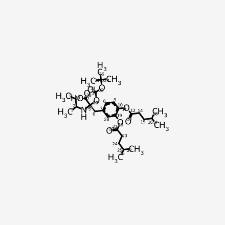 CCC(C)N[C@@](Cc1ccc(OC(=O)CCC(C)C)c(OC(=O)CCC(C)C)c1)(OC(=O)OC(C)(C)C)C(=O)O